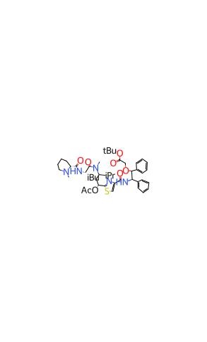 CC[C@H](C)[C@H](NC(=O)[C@H]1CCCCN1C)C(=O)N(C)C(C[C@@H](OC(C)=O)c1nc(C(=O)N[C@H](c2ccccc2)[C@@H](OCC(=O)OC(C)(C)C)c2ccccc2)cs1)C(C)C